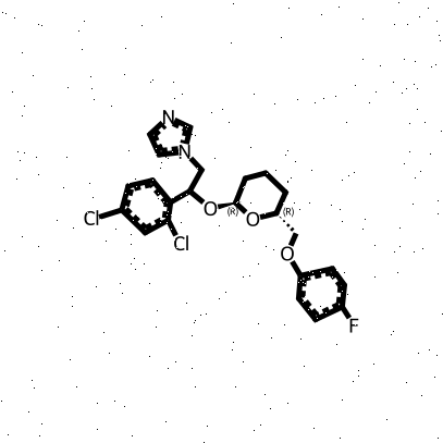 Fc1ccc(OC[C@H]2CCC[C@H](OC(Cn3ccnc3)c3ccc(Cl)cc3Cl)O2)cc1